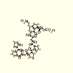 NCCCC[C@H](NC(=O)CNC(=O)[C@@H]1CCCN1C(=O)[C@@H]1CCCN1C(=O)CNC(=O)[C@@H]1CCCN1C(=O)[C@@H]1CCCN1)C(=O)N1CCC[C@H]1C(=O)NCC(=O)O